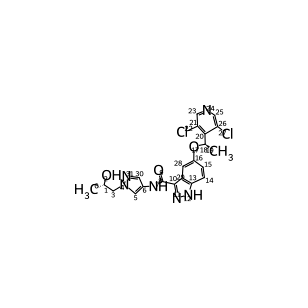 C[C@H](O)Cn1cc(NC(=O)c2n[nH]c3ccc(O[C@H](C)c4c(Cl)cncc4Cl)cc23)cn1